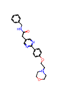 O=C(Cc1cnc(-c2ccc(OCCN3CCOCC3)cc2)nc1)NCc1ccccc1